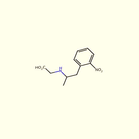 CC(Cc1ccccc1[N+](=O)[O-])NCC(=O)O